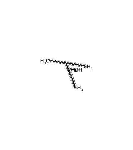 CCCCCCCCCCCCC(CCCCCCCCCCCC)CCCN(CCCCO)CCCCCCCCCCCC